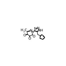 CC1=NN(c2nn[nH]c2Cc2ccccc2)C(=O)C(=O)C1=O